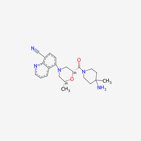 C[C@@H]1CN(c2ccc(C#N)c3ncccc23)C[C@H](C(=O)N2CCC(C)(N)CC2)O1